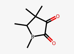 CB1C(=O)C(=O)C(C)(C)C1C